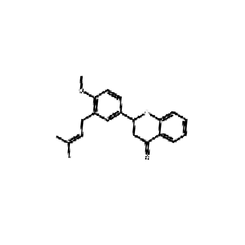 COc1ccc(C2CC(=O)c3ccccc3O2)cc1CC=C(C)C